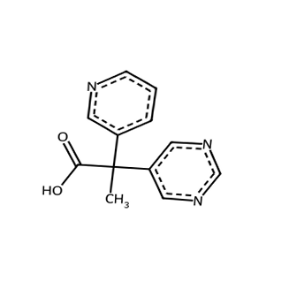 CC(C(=O)O)(c1cccnc1)c1cncnc1